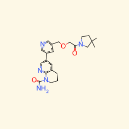 CC1(C)CCN(C(=O)COCc2cncc(-c3cnc4c(c3)CCCN4C(N)=O)c2)C1